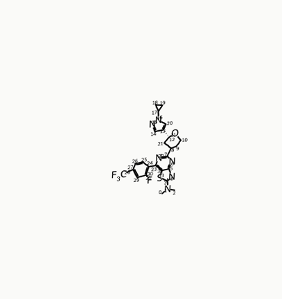 CN(C)c1nc2nc(C3CCO[C@@H](c4cnn(C5CC5)c4)C3)nc(-c3ccc(C(F)(F)F)cc3F)c2s1